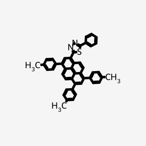 Cc1ccc(-c2cc(-c3ccc(C)cc3)c3ccc4c(-c5nnc(-c6ccccc6)s5)cc(-c5ccc(C)cc5)c5ccc2c3c54)cc1